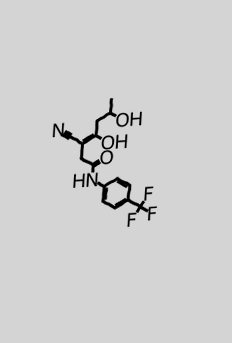 CC(O)CC(O)=C(C#N)CC(=O)Nc1ccc(C(F)(F)F)cc1